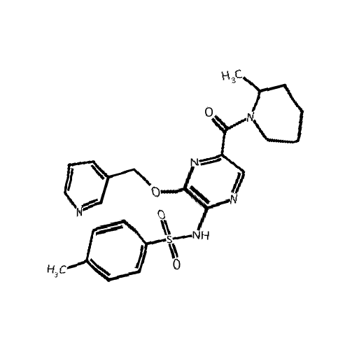 Cc1ccc(S(=O)(=O)Nc2ncc(C(=O)N3CCCCC3C)nc2OCc2cccnc2)cc1